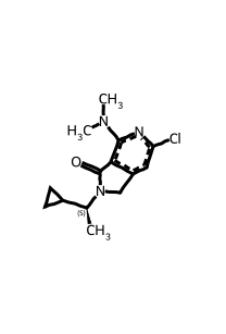 C[C@@H](C1CC1)N1Cc2cc(Cl)nc(N(C)C)c2C1=O